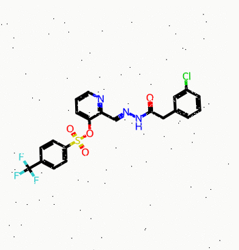 O=C(Cc1cccc(Cl)c1)NN=Cc1ncccc1OS(=O)(=O)c1ccc(C(F)(F)F)cc1